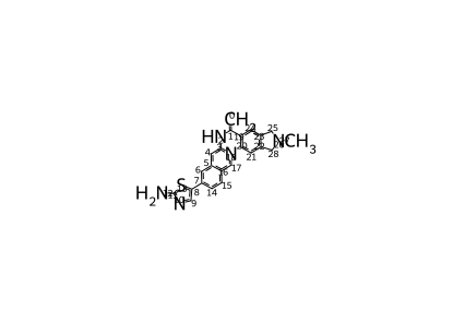 C=C(Nc1cc2cc(-c3cnc(N)s3)ccc2cn1)c1ccc2c(c1)CN(C)C2